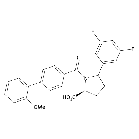 COc1ccccc1-c1ccc(C(=O)N2C(c3cc(F)cc(F)c3)CC[C@H]2C(=O)O)cc1